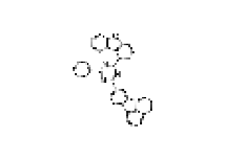 C1=CC2Oc3cccc(-c4nc(-c5ccccc5)nc(-c5ccc6c(c5)-c5cccc7cccc-6c57)n4)c3C2C=C1